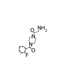 NCC(=O)N1CCN(C(=O)c2ccccc2F)CC1